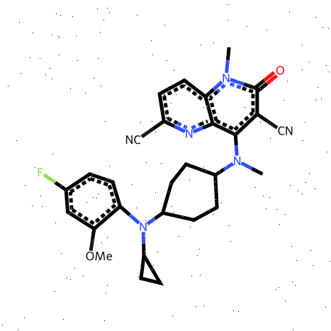 COc1cc(F)ccc1N(C1CCC(N(C)c2c(C#N)c(=O)n(C)c3ccc(C#N)nc23)CC1)C1CC1